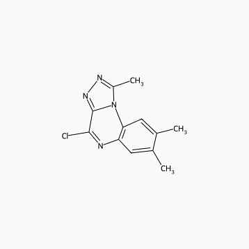 Cc1cc2nc(Cl)c3nnc(C)n3c2cc1C